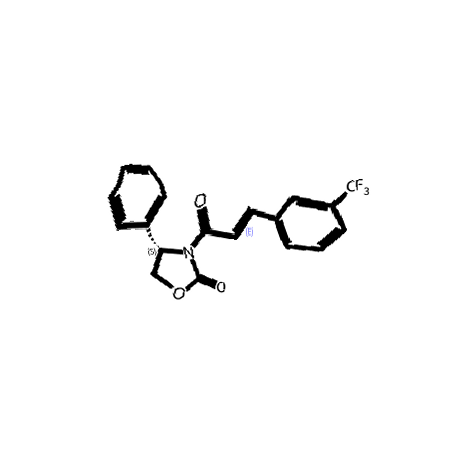 O=C(/C=C/c1cccc(C(F)(F)F)c1)N1C(=O)OC[C@@H]1c1ccccc1